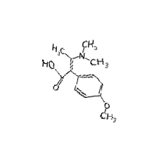 COc1ccc(C(C(=O)O)=C(C)N(C)C)cc1